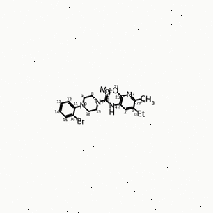 CCc1cc(NC(=O)N2CCN(c3ccccc3Br)CC2)c(OC)nc1C